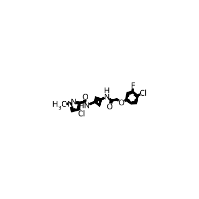 Cn1cc(Cl)c(C(=O)NC23CC(NC(=O)COc4ccc(Cl)c(F)c4)(C2)C3)n1